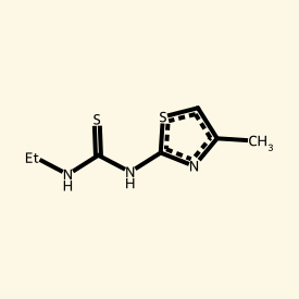 CCNC(=S)Nc1nc(C)cs1